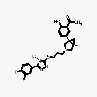 CC(=O)c1cc([C@@]23C[C@@H]2CN(CCCSc2nnc(-c4ccc(F)c(F)c4)n2C)C3)ccc1O